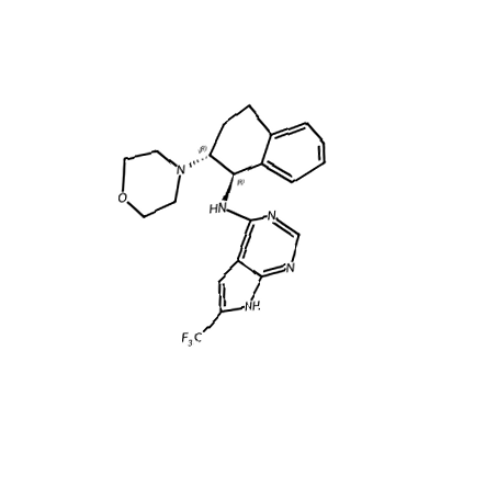 FC(F)(F)c1cc2c(N[C@@H]3c4ccccc4CC[C@H]3N3CCOCC3)ncnc2[nH]1